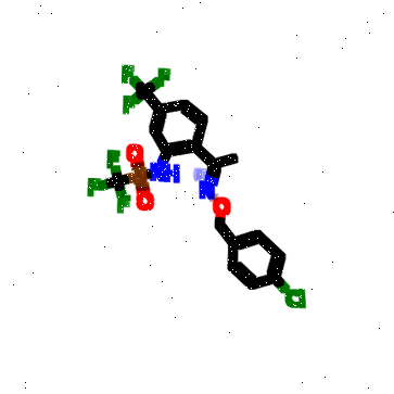 C/C(=N\OCc1ccc(Cl)cc1)c1ccc(C(F)(F)F)cc1NS(=O)(=O)C(F)(F)F